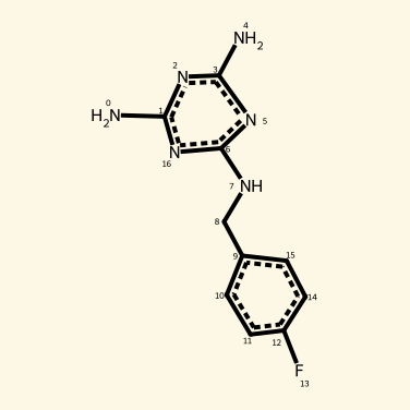 Nc1nc(N)nc(NCc2ccc(F)cc2)n1